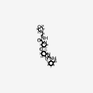 Cn1c(Nc2ccccc2F)nc2cc(Oc3ccnc(C(=O)NCCN4CCOCC4)c3)ccc21